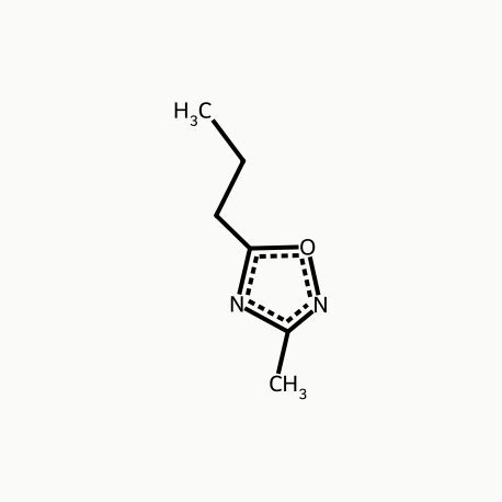 CCCc1nc(C)no1